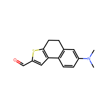 CN(C)c1ccc2c(c1)CCc1sc(C=O)cc1-2